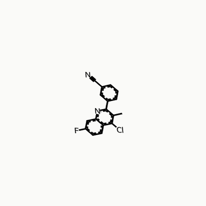 Cc1c(-c2cccc(C#N)c2)nc2cc(F)ccc2c1Cl